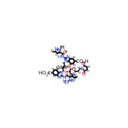 CCn1nc(C)cc1C(=O)Nc1nc2cc(C(=O)O)cc(OC)c2n1C/C=C/Cn1c(NC(=O)c2cc(C)nn2CC)nc2cc(C(=O)O)cc(OCCCN(C)C(=O)CCN3C(=O)C=CC3=O)c21